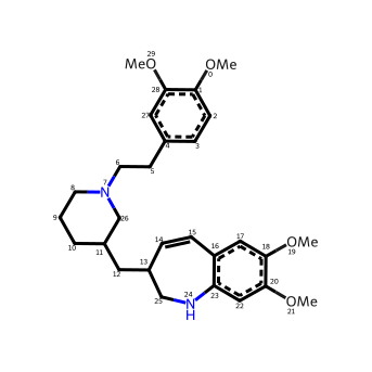 COc1ccc(CCN2CCCC(CC3C=Cc4cc(OC)c(OC)cc4NC3)C2)cc1OC